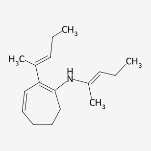 CC/C=C(\C)NC1=C(/C(C)=C/CC)C=CCCC1